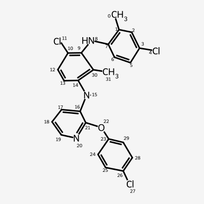 Cc1cc(Cl)ccc1Nc1c(Cl)ccc([N]c2cccnc2Oc2ccc(Cl)cc2)c1C